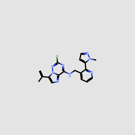 C=C(C)c1cnc2c(NCc3cccnc3-c3ccnn3C)nc(Cl)nn12